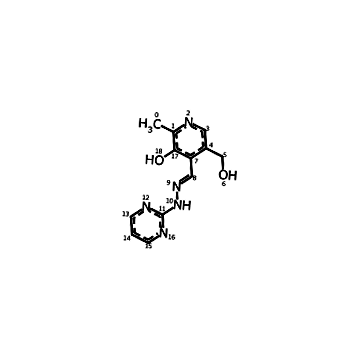 Cc1ncc(CO)c(C=NNc2ncccn2)c1O